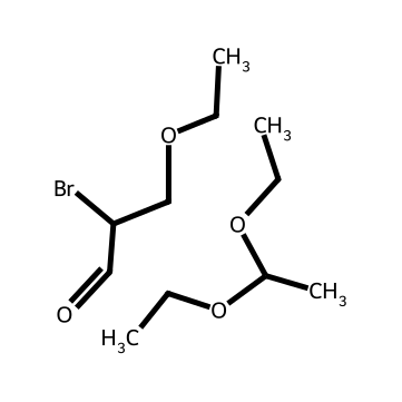 CCOC(C)OCC.CCOCC(Br)C=O